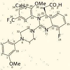 COc1cccc(N2CCN(C3=Nc4c(F)cccc4[C@H](CC(=O)O)N3c3cc(C(F)(F)F)ccc3OC)CC2)c1.[CaH2]